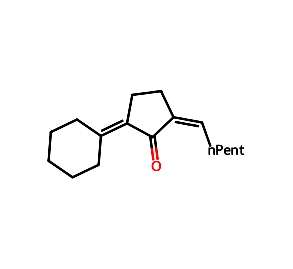 CCCCCC=C1CCC(=C2CCCCC2)C1=O